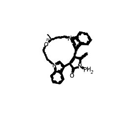 C=C1C2=C(C(=O)N1P)c1cn(c3ccccc13)CCO[C@@H](C)CCn1cc2c2ccccc21